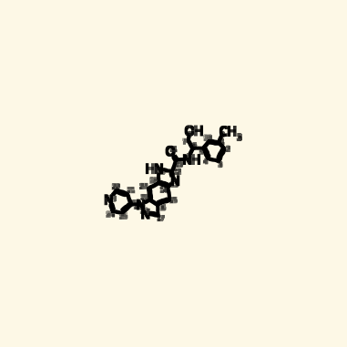 Cc1cccc(C(CO)NC(=O)c2nc3cc4cnn(-c5ccncc5)c4cc3[nH]2)c1